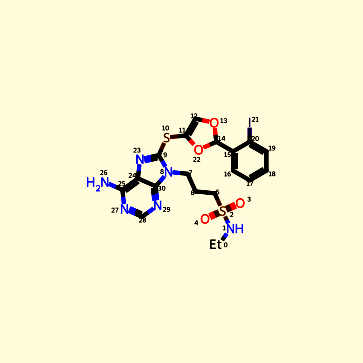 CCNS(=O)(=O)CCCn1c(SC2=COC(c3ccccc3I)O2)nc2c(N)ncnc21